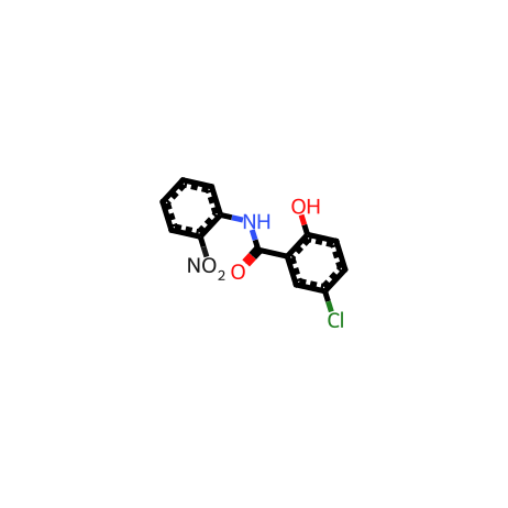 O=C(Nc1ccccc1[N+](=O)[O-])c1cc(Cl)ccc1O